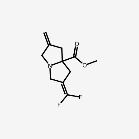 C=C1CN2CC(=C(F)F)CC2(C(=O)OC)C1